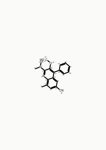 CCN(C)c1nc2c(C)cc(C#N)cc2c(-c2ccccc2)c1OC(=O)O